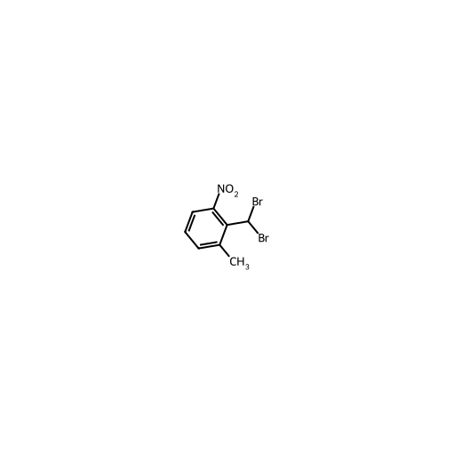 Cc1cccc([N+](=O)[O-])c1C(Br)Br